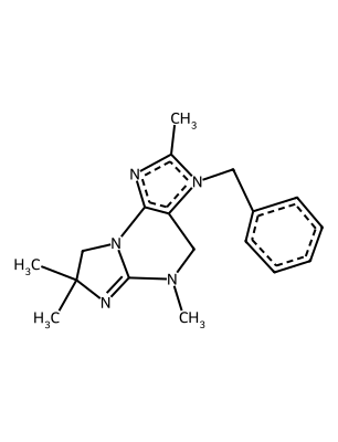 Cc1nc2c(n1Cc1ccccc1)CN(C)C1=NC(C)(C)CN12